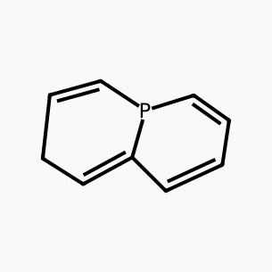 C1=CC2=CCC=CP2C=C1